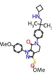 COOSc1nn(-c2ccc(OC)cc2)c2c1CCN(c1ccc(C(C)(C)CNC3CCC3)cc1)C2=O